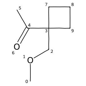 COCC1(C(C)=O)CCC1